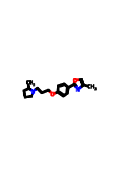 Cc1coc(-c2ccc(OCCCN3CCCC3C)cc2)n1